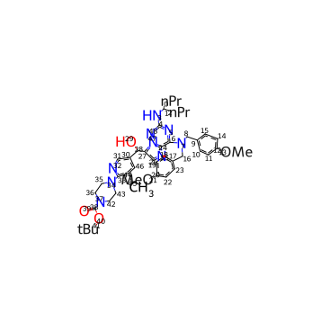 CCCC(CCC)Nc1nc(N(Cc2ccc(OC)cc2)Cc2ccc(OC)cc2)c2ncc(C(O)c3cnc(N4CCN(C(=O)OC(C)(C)C)CC4)c(C)c3)n2n1